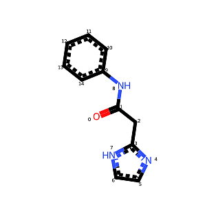 O=C(Cc1ncc[nH]1)Nc1c[c]ccc1